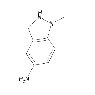 CN1NCc2cc(N)ccc21